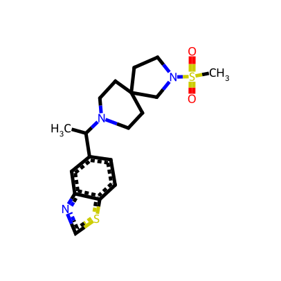 CC(c1ccc2scnc2c1)N1CCC2(CC1)CCN(S(C)(=O)=O)C2